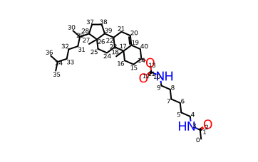 CC(=O)NCCCCCCNC(=O)OC1CCC2(C)C(=CCC3C2CCC2(C)C(C(C)CCCC(C)C)CCC32)C1